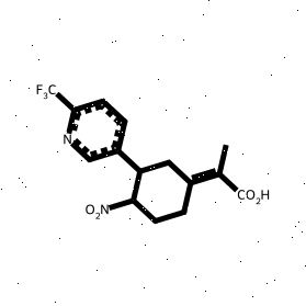 CC(C(=O)O)=C1CCC([N+](=O)[O-])C(c2ccc(C(F)(F)F)nc2)C1